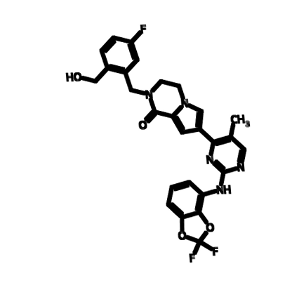 Cc1cnc(Nc2cccc3c2OC(F)(F)O3)nc1-c1cc2n(c1)CCN(Cc1cc(F)ccc1CO)C2=O